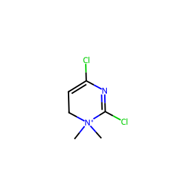 C[N+]1(C)CC=C(Cl)N=C1Cl